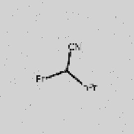 C[C]CC(C#N)CC